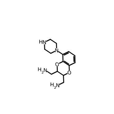 NCC1Oc2cccc(N3CCNCC3)c2OC1CN